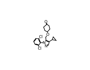 O=C1CCC(OCc2c(C3CC3)cnn2-c2c(Cl)cccc2Cl)CC1